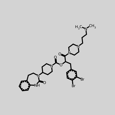 CN(C)CCCN1CCN(C(=O)C(Cc2ccc(Br)c(Br)c2)OC(=O)N2CCC(N3CCc4ccccc4NC3=O)CC2)CC1